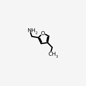 CCc1coc(CN)c1